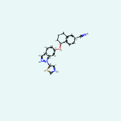 N#Cc1ccc2c(c1)CCCC2Oc1ccc2cnn(-c3cncs3)c2c1